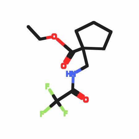 CCOC(=O)C1(CNC(=O)C(F)(F)F)CCCC1